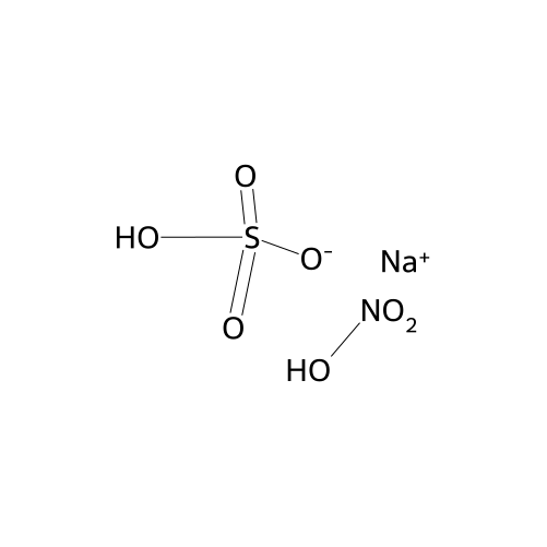 O=S(=O)([O-])O.O=[N+]([O-])O.[Na+]